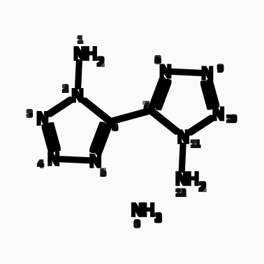 N.Nn1nnnc1-c1nnnn1N